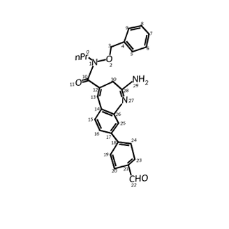 CCCN(OCc1ccccc1)C(=O)C1=Cc2ccc(-c3ccc(C=O)cc3)cc2N=C(N)C1